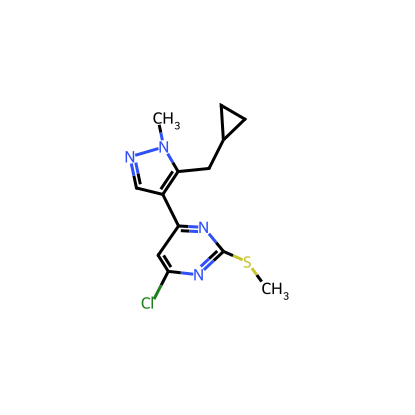 CSc1nc(Cl)cc(-c2cnn(C)c2CC2CC2)n1